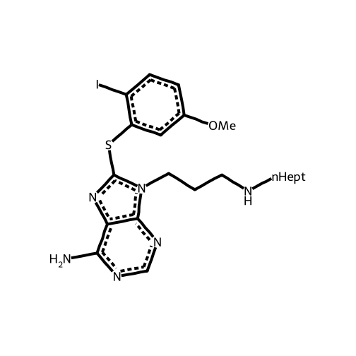 CCCCCCCNCCCn1c(Sc2cc(OC)ccc2I)nc2c(N)ncnc21